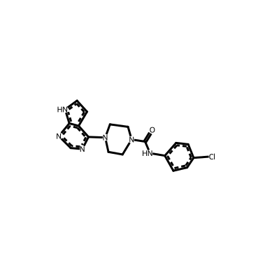 O=C(Nc1ccc(Cl)cc1)N1CCN(c2ncnc3[nH]ccc23)CC1